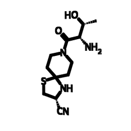 C[C@@H](O)[C@H](N)C(=O)N1CCC2(CC1)N[C@H](C#N)CS2